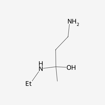 CCNC(C)(O)CCN